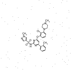 Cc1ccccc1-c1cc(Oc2cccc(N3CCN(C)CC3)c2Cl)nc(NS(=O)(=O)c2cnn(C)c2)n1